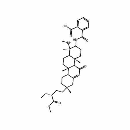 CC[C@H](CC[C@]1(C)CCC2C(=CC(=O)C3[C@@]2(C)CCC2[C@]3(C)CCC(NC(=O)c3ccccc3C(=O)O)[C@]2(C)NC)C1)C(=O)OC